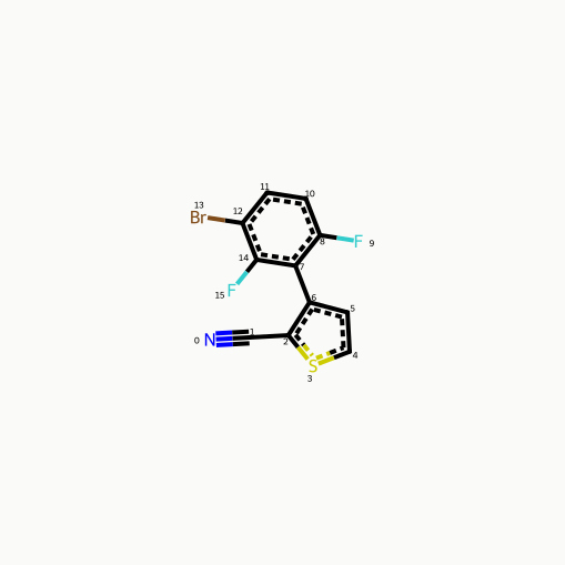 N#Cc1sccc1-c1c(F)ccc(Br)c1F